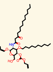 C=CCOC(=O)O[C@@H]1C(CO)O[C@H](O/C=C\C)[C@H](NC(=O)CC(=O)CCCCCCCCCCC)C1OCCCCCCCCCC